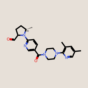 Cc1cnc(N2CCN(C(=O)c3ccc(N4C(C=O)CC[C@@H]4C)nc3)CC2)c(C)c1